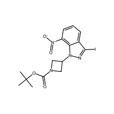 CC(C)(C)OC(=O)N1CC(n2nc(I)c3cccc([N+](=O)[O-])c32)C1